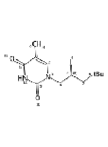 Cc1cn(C[C@@H](I)CC(C)(C)C)c(=O)[nH]c1=O